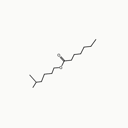 CCCCCCC(=O)OCCCCC(C)C